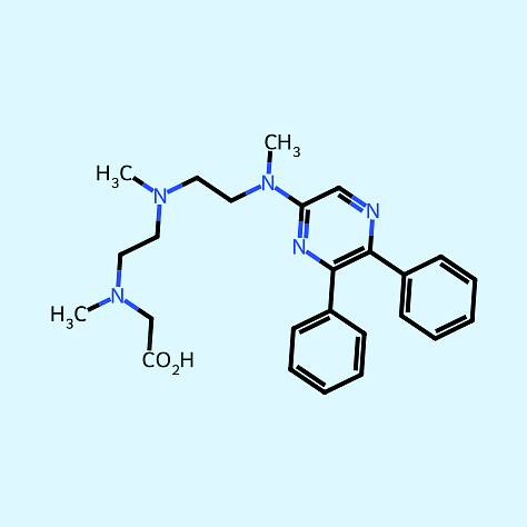 CN(CCN(C)CC(=O)O)CCN(C)c1cnc(-c2ccccc2)c(-c2ccccc2)n1